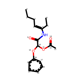 CCCC=C(CC)NC(=O)C(OC(C)=O)Oc1ccccc1